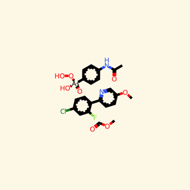 CC(=O)Nc1ccc([As](=O)(O)OO)cc1.COC=O.COc1ccc(-c2ccc(Cl)cc2F)nc1